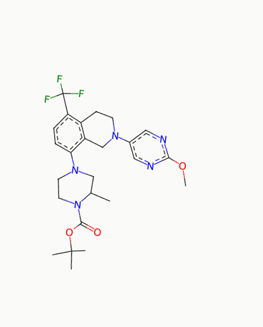 COc1ncc(N2CCc3c(C(F)(F)F)ccc(N4CCN(C(=O)OC(C)(C)C)C(C)C4)c3C2)cn1